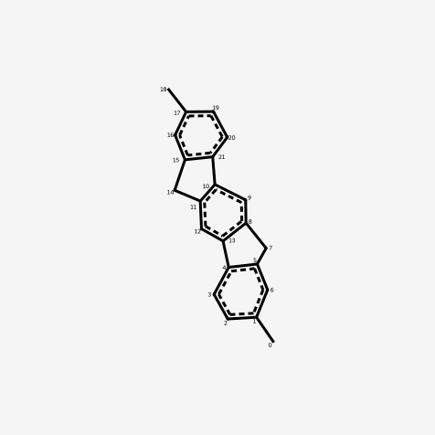 Cc1ccc2c(c1)Cc1cc3c(cc1-2)Cc1cc(C)ccc1-3